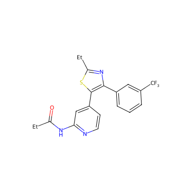 CCC(=O)Nc1cc(-c2sc(CC)nc2-c2cccc(C(F)(F)F)c2)ccn1